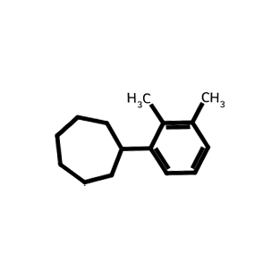 Cc1cccc(C2C[CH]CCCC2)c1C